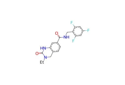 CCN1Cc2ccc(C(=O)NCc3c(F)cc(F)cc3F)cc2NC1=O